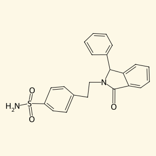 NS(=O)(=O)c1ccc(CCN2C(=O)c3ccccc3C2c2ccccc2)cc1